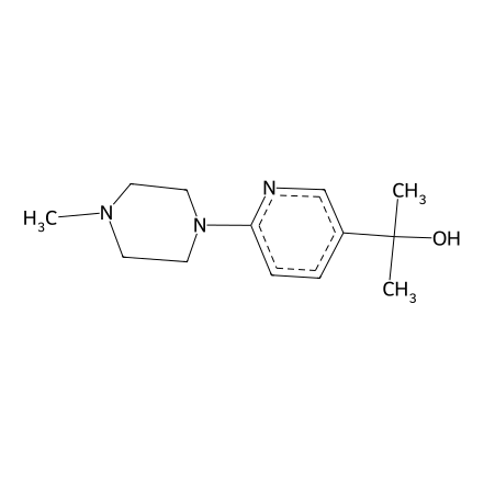 CN1CCN(c2ccc(C(C)(C)O)cn2)CC1